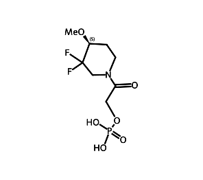 CO[C@H]1CCN(C(=O)COP(=O)(O)O)CC1(F)F